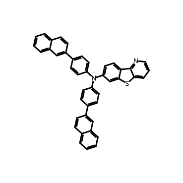 c1ccc2cc(-c3ccc(N(c4ccc(-c5ccc6ccccc6c5)cc4)c4ccc5c(c4)sc4cccnc45)cc3)ccc2c1